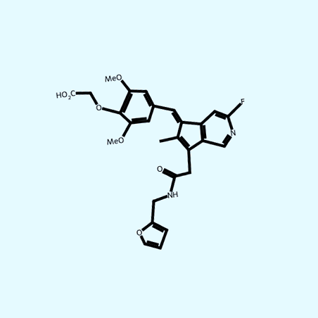 COc1cc(C=C2C(C)=C(CC(=O)NCc3ccco3)c3cnc(F)cc32)cc(OC)c1OCC(=O)O